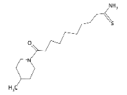 CC1CCN(C(=O)CCCCCCCCC(N)=S)CC1